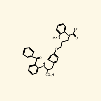 CCC(=O)N(CCCOc1ccc(CC(Nc2ccccc2C(=O)c2ccccc2)C(=O)O)cc1)c1ccccc1OC